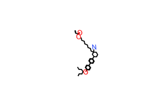 C=CC(=O)OCCCCCCCCC1(C#N)CCCC(c2ccc(-c3ccc(OC(CCC)CCC)cc3)cc2)C1